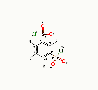 Cc1c(C)c(S(=O)(=O)Cl)c(C)c(S(=O)(=O)Cl)c1C